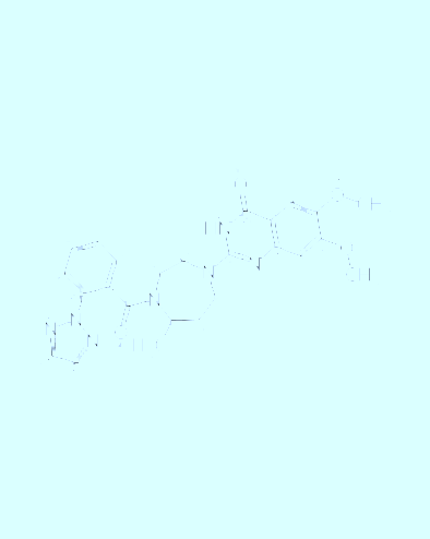 COc1cc2nc(N3CCC(C)N(C(=O)c4ccccc4-n4nccn4)CC3)[nH]c(=O)c2cc1OC